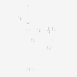 O=c1[nH]c(-c2cc(O)cc3ccccc23)cc2nc(OC[C@@]34CCCN3C[C@H](F)C4)nc(N3CC4CCC(C3)N4)c12